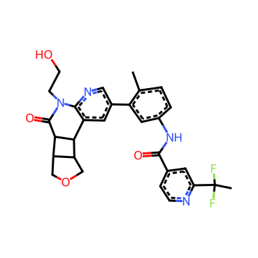 Cc1ccc(NC(=O)c2ccnc(C(C)(F)F)c2)cc1-c1cnc2c(c1)C1C3COCC3C1C(=O)N2CCO